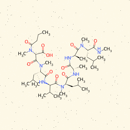 CCCC(=O)N(C)C(C(=O)O)C(=O)N(C)[C@@H](CC(C)C)C(=O)N[C@@H](C(=O)N(C)[C@H](CC(C)C)C(=O)N[C@@H](C)C(=O)N[C@H](C)C(=O)N(C)[C@@H](CC(C)C)C(=O)NC)C(C)C